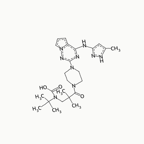 Cc1cc(Nc2nc(N3CCN(C(=O)C(C)(C)CN(C(=O)O)C(C)(C)C)CC3)nn3cccc23)n[nH]1